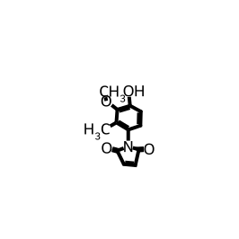 COc1c(O)ccc(N2C(=O)C=CC2=O)c1C